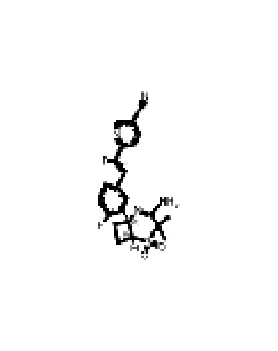 CC1(C)C(N)=N[C@@]2(c3cc(/C=C(\F)c4ccc(C#N)cn4)ccc3F)CC[C@H]2S1(=O)=O